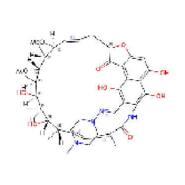 CO[C@H]1/C=C/C[C@@]2(C)Oc3cc(O)c4c(O)c(c(/C=N/N5CCN(C)CC5)c(O)c4c3C2=O)NC(=O)/C(C)=C\C=C\[C@H](C)[C@H](O)[C@@H](C)[C@@H](O)[C@@H](C)[C@H](OC(C)=O)[C@@H]1C